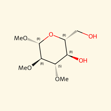 CO[C@@H]1O[C@H](CO)[C@@H](O)[C@H](OC)[C@H]1OC